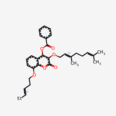 CC/C=C/CCOc1cccc2c(OC(=O)c3ccccc3)c(OC/C=C(\C)CCC=C(C)C)c(=O)oc12